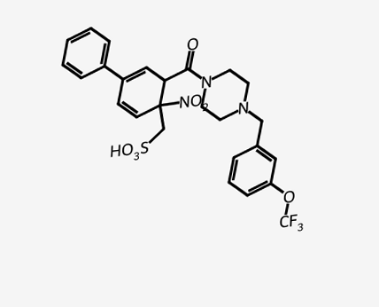 O=C(C1C=C(c2ccccc2)C=CC1(CS(=O)(=O)O)[N+](=O)[O-])N1CCN(Cc2cccc(OC(F)(F)F)c2)CC1